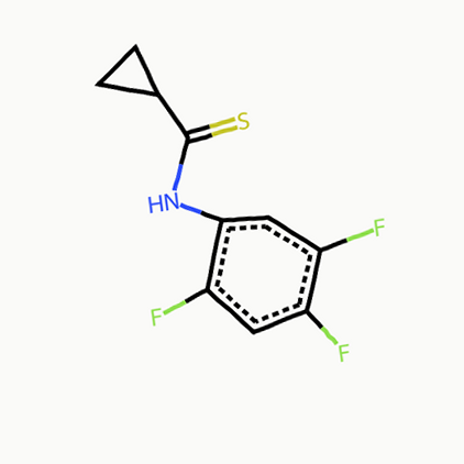 Fc1cc(F)c(NC(=S)C2CC2)cc1F